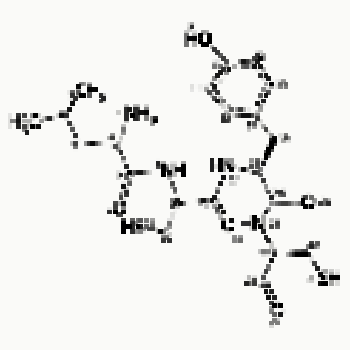 CC(C)C[C@H](N)C(=O)N[C@@H](CS)C(=O)N[C@@H](Cc1ccc(O)cc1)C(=O)N[C@H]([C]=O)CS